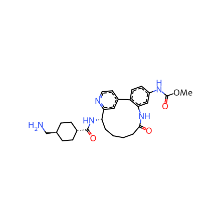 COC(=O)Nc1ccc2c(c1)NC(=O)CCCC[C@H](NC(=O)[C@H]1CC[C@H](CN)CC1)c1cc-2ccn1